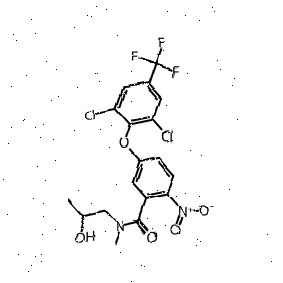 CC(O)CN(C)C(=O)c1cc(Oc2c(Cl)cc(C(F)(F)F)cc2Cl)ccc1[N+](=O)[O-]